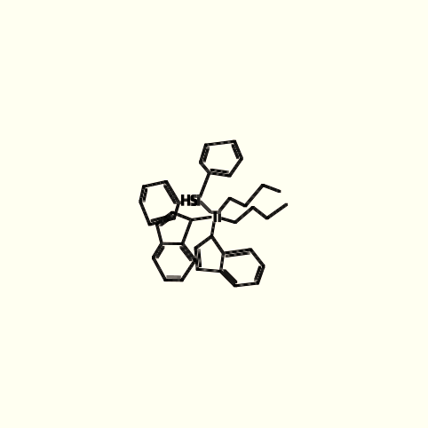 CCC[CH2][Ti]([CH2]CCC)([CH]1C=Cc2ccccc21)([CH]1C=Cc2ccccc21)[SiH](c1ccccc1)c1ccccc1